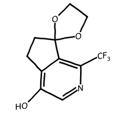 Oc1cnc(C(F)(F)F)c2c1CCC21OCCO1